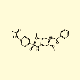 COc1cc(NS(=O)(=O)c2ccc(NC(C)=O)cc2)c(OC)cc1NC(=O)c1ccccc1